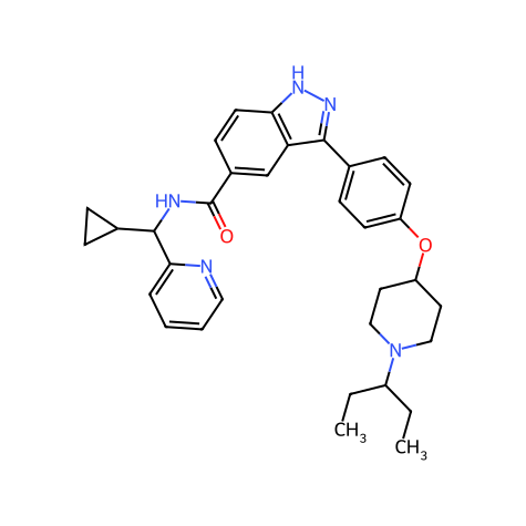 CCC(CC)N1CCC(Oc2ccc(-c3n[nH]c4ccc(C(=O)NC(c5ccccn5)C5CC5)cc34)cc2)CC1